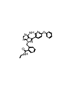 CCNC(=O)c1ccccc1Cn1nc(-c2ccc(Oc3ccccc3)nc2)c2c(N)ncnc21